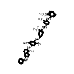 COc1cc(N=Nc2ccc(N=Nc3ccc(N=Nc4ccccc4S(=O)(=O)O)c(C)c3)c(C)c2)c(CO)cc1N=Nc1ccc2cc(Nc3ccccc3)ccc2c1O